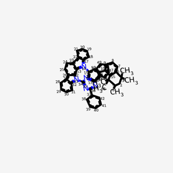 CC1CC(C)(C)c2cccc(-c3cccc(-n4c5ccccc5c5ccc6c7ccccc7n(-c7nc(-c8ccccc8)nc(-c8ccccc8)n7)c6c54)c3)c2C1(C)C